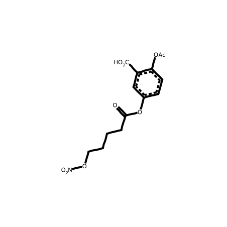 CC(=O)Oc1ccc(OC(=O)CCCCO[N+](=O)[O-])cc1C(=O)O